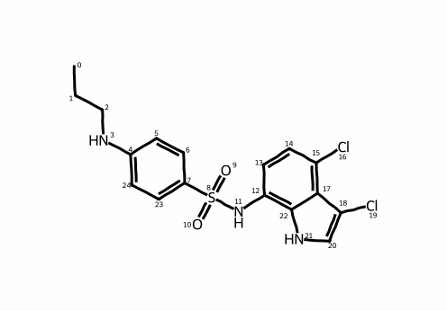 CCCNc1ccc(S(=O)(=O)Nc2ccc(Cl)c3c(Cl)c[nH]c23)cc1